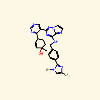 CC(C)n1cc(C(F)(F)F)nc1-c1ccc(CNc2nc(-c3cncnc3C3C=CC(C)(O)CC3)nn3ccnc23)cc1